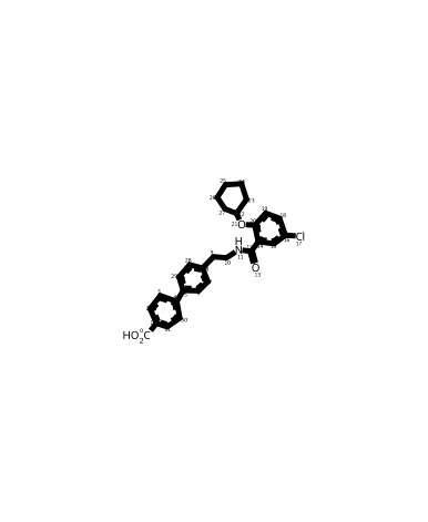 O=C(O)c1ccc(-c2ccc(CCNC(=O)c3cc(Cl)ccc3OC3CCCCC3)cc2)cc1